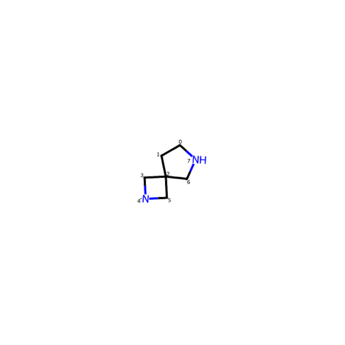 C1CC2(C[N]C2)CN1